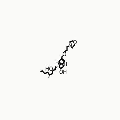 CCCC[C@H](C)C[C@H](O)/C=C/[C@@H]1[C@H]2CC(COCCCN3CCOCC3)=C[C@H]2C[C@H]1O